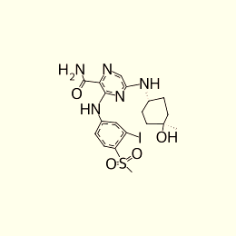 CS(=O)(=O)c1ccc(Nc2nc(N[C@H]3CC[C@](C)(O)CC3)cnc2C(N)=O)cc1I